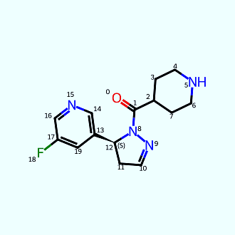 O=C(C1CCNCC1)N1N=CC[C@H]1c1cncc(F)c1